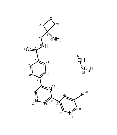 NC1(CNC(=O)c2ccc(-c3cncc(-c4cncc(F)c4)n3)cc2)CCC1.O=S(=O)(O)O